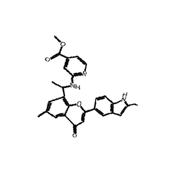 COC(=O)c1ccnc(NC(C)c2cc(C)cc3c(=O)cc(-c4ccc5[nH]c(C)cc5c4)oc23)c1